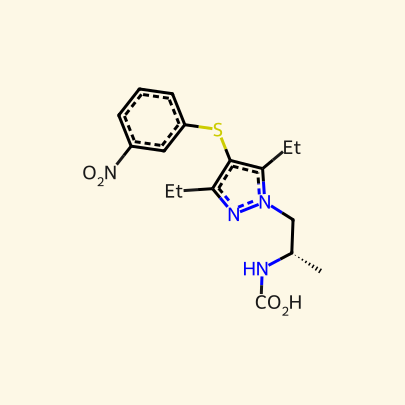 CCc1nn(C[C@H](C)NC(=O)O)c(CC)c1Sc1cccc([N+](=O)[O-])c1